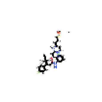 C#CC(CC)(C(C)C)C(CC(=O)Nc1cccc(F)c1CCC1NCCC(CCCSO)N1C)c1ccc(F)cc1